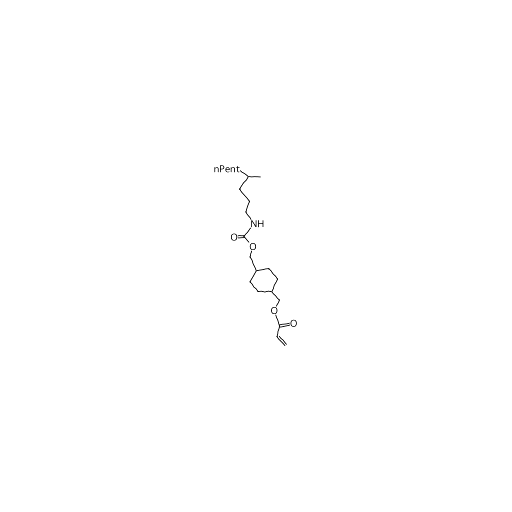 C=CC(=O)OCC1CCC(COC(=O)NCCCC(C)CCCCC)CC1